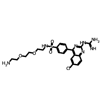 N=C(N)Nc1nc(-c2ccc(S(=O)(=O)NCCOCCOCCN)cc2)c2cc(Cl)ccc2n1